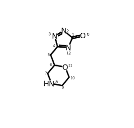 O=C1N=NC(CC2CNCCO2)=N1